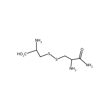 NC(=O)C(N)CSSCC(N)C(=O)O